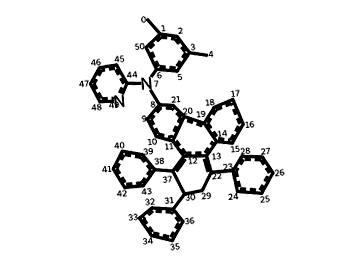 Cc1cc(C)cc(N(c2ccc3c4c(c5ccccc5c3c2)=C(c2ccccc2)CC(c2ccccc2)C=4c2ccccc2)c2ccccn2)c1